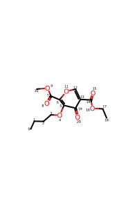 CCCCOc1c(C(=O)OC)occ(C(=O)OCC)c1=O